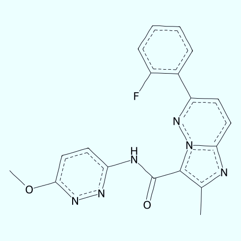 COc1ccc(NC(=O)c2c(C)nc3ccc(-c4ccccc4F)nn23)nn1